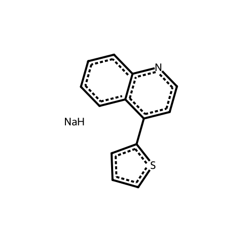 [NaH].c1csc(-c2ccnc3ccccc23)c1